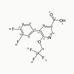 O=C(O)c1cnc(OCC(F)(F)F)c(-c2ccc(F)c(F)c2)c1